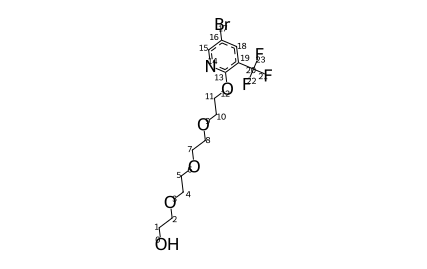 OCCOCCOCCOCCOc1ncc(Br)cc1C(F)(F)F